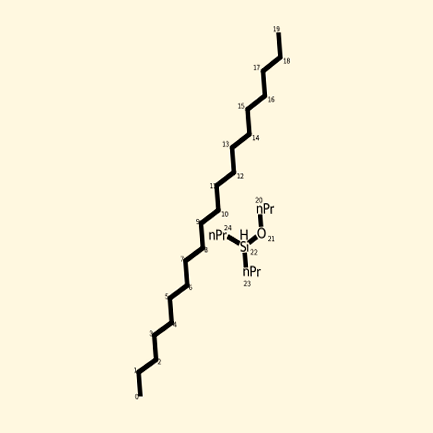 CCCCCCCCCCCCCCCCCCCC.CCCO[SiH](CCC)CCC